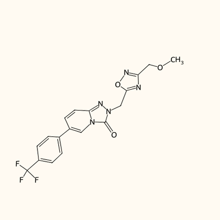 COCc1noc(Cn2nc3ccc(-c4ccc(C(F)(F)F)cc4)cn3c2=O)n1